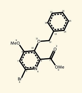 COC(=O)c1nc(Br)cc(OC)c1OCc1ccccc1